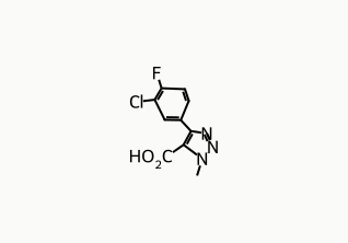 Cn1nnc(-c2ccc(F)c(Cl)c2)c1C(=O)O